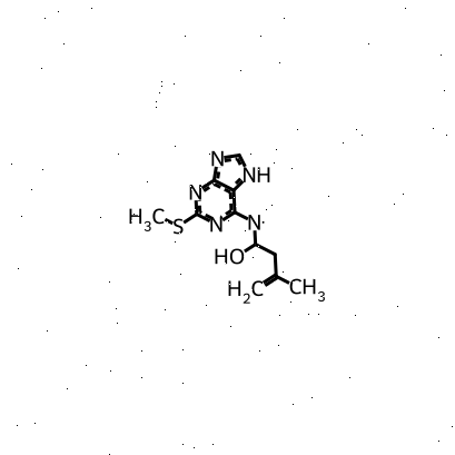 C=C(C)CC(O)[N]c1nc(SC)nc2nc[nH]c12